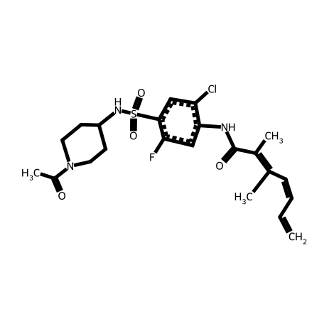 C=C/C=C\C(C)=C(/C)C(=O)Nc1cc(F)c(S(=O)(=O)NC2CCN(C(C)=O)CC2)cc1Cl